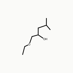 CCOCC(O)CC(C)C